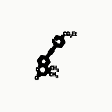 CCOC(=O)c1ccc(C#Cc2ccc3c(c2)C(C)(C)CC(=O)O3)nc1